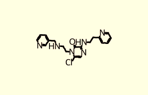 O=c1c(NCCc2ccccn2)ncc(Cl)n1CCNCc1cccnc1